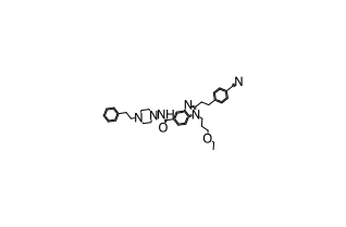 CCOCCCn1c(CCc2ccc(C#N)cc2)nc2cc(C(=O)NN3CCN(CCc4ccccc4)CC3)ccc21